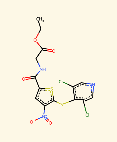 CCOC(=O)CNC(=O)c1cc([N+](=O)[O-])c(Sc2c(Cl)cncc2Cl)s1